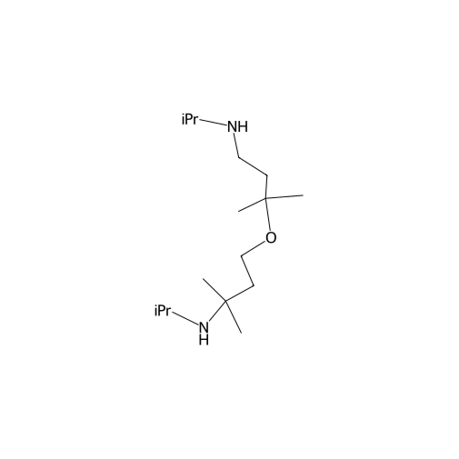 CC(C)NCCC(C)(C)OCCC(C)(C)NC(C)C